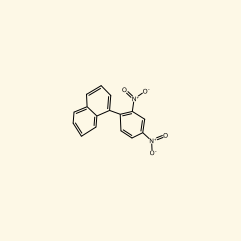 O=[N+]([O-])c1ccc(-c2cccc3ccccc23)c([N+](=O)[O-])c1